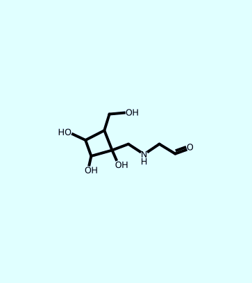 O=CCNCC1(O)C(O)C(O)C1CO